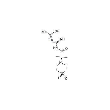 CC(C)(C)/C(O)=C/C(=N)NC(=O)C(C)(C)N1CCS(=O)(=O)CC1